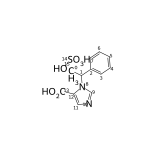 CC(c1ccccc1)n1cncc1C(=O)O.O=S(=O)(O)O